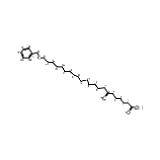 O=C(O)CCCCCC(=O)CCCCCCCCCCCCCCCOCc1ccccc1